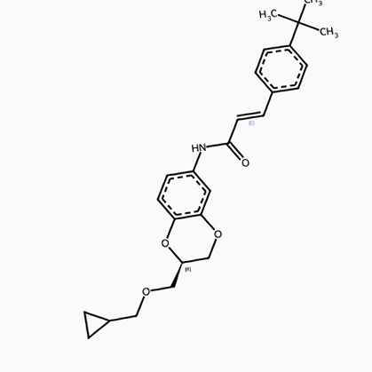 CC(C)(C)c1ccc(/C=C/C(=O)Nc2ccc3c(c2)OC[C@@H](COCC2CC2)O3)cc1